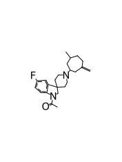 C=C1CCC(C)CC(N2CCC3(CC2)CN(C(C)=O)c2ccc(F)cc23)C1